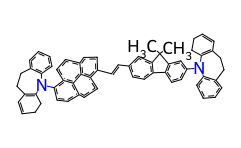 CC1(C)c2cc(/C=C/c3ccc4ccc5c(N6C7=C(C=CCC7)CCc7ccccc76)ccc6ccc3c4c65)ccc2-c2ccc(N3C4=C(C=CCC4)CCc4ccccc43)cc21